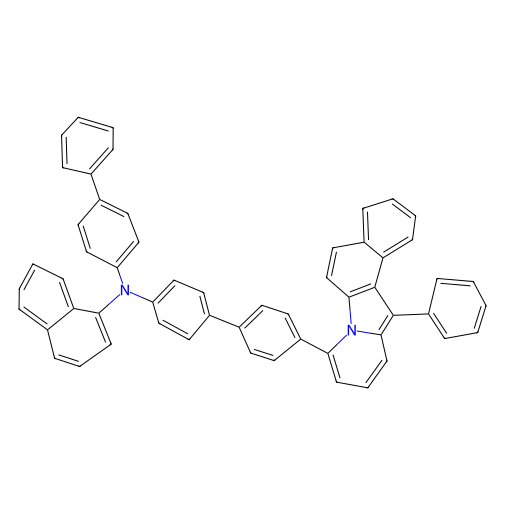 c1ccc(-c2ccc(N(c3ccc(-c4ccc(-c5cccc6c(-c7ccccc7)c7c8ccccc8ccc7n56)cc4)cc3)c3cccc4ccccc34)cc2)cc1